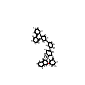 O=P1(c2ccc3ccccc3c2)c2ccccc2Sc2cc(-c3cccc(-c4ccc5c6ccccc6c6ccccc6c5c4)c3)ccc21